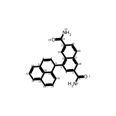 NC(=O)c1cc(C2C=Cc3cccc4cccc2c34)c2cc(C(N)=O)ccc2c1